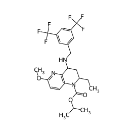 CCC1CC(NCc2cc(C(F)(F)F)cc(C(F)(F)F)c2)c2nc(OC)ccc2N1C(=O)OC(C)C